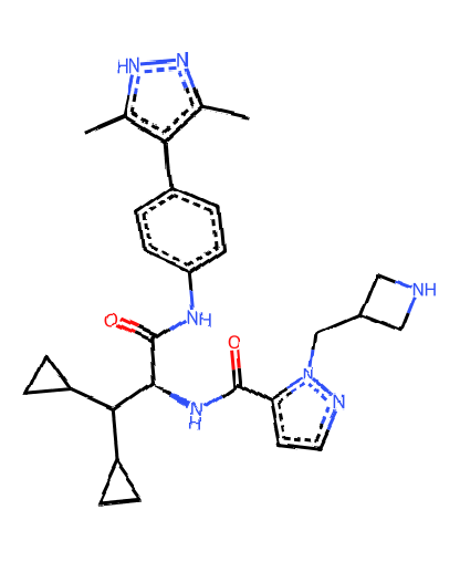 Cc1n[nH]c(C)c1-c1ccc(NC(=O)[C@@H](NC(=O)c2ccnn2CC2CNC2)C(C2CC2)C2CC2)cc1